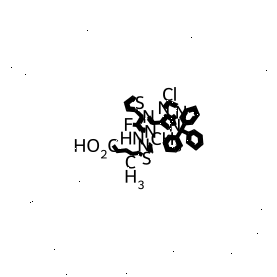 CC1=CSC(C(C)CCC(=O)O)N1Nc1nc(-c2cn(C(c3ccccc3)(c3ccccc3)c3ccccc3)c3ncc(Cl)nc23)nc(-c2cccs2)c1F